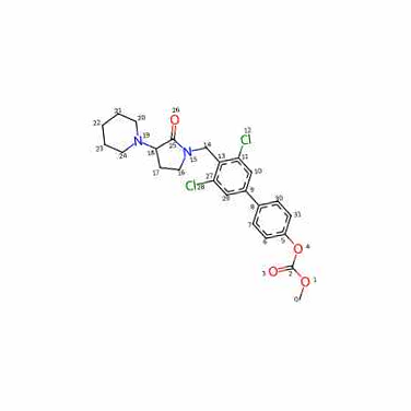 COC(=O)Oc1ccc(-c2cc(Cl)c(CN3CCC(N4CCCCC4)C3=O)c(Cl)c2)cc1